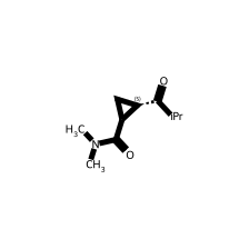 CC(C)C(=O)[C@H]1CC1C(=O)N(C)C